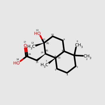 CC1(C)CCC[C@@]2(C)C1CC[C@@](C)(O)[C@@H]2CC(=O)O